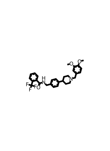 COc1ccc(CN2CCC(c3ccc(CNC(=O)c4ccccc4C(F)(F)F)cc3)CC2)cc1OC